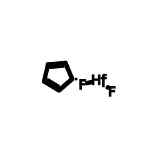 [CH]1C=CC=C1.[F][Hf][F]